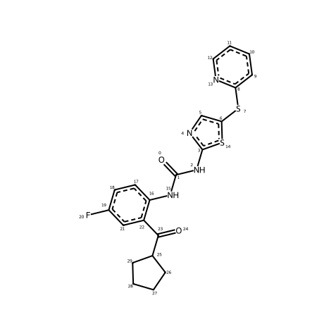 O=C(Nc1ncc(Sc2ccccn2)s1)Nc1ccc(F)cc1C(=O)C1CCCC1